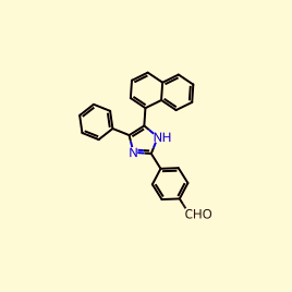 O=Cc1ccc(-c2nc(-c3ccccc3)c(-c3cccc4ccccc34)[nH]2)cc1